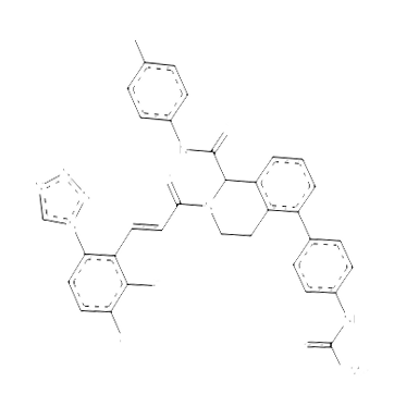 COC(=O)Nc1ccc(-c2cccc3c2CCN(C(=O)/C=C/c2c(-n4cnnn4)ccc(Cl)c2F)C3C(=O)Nc2ccc(F)cc2)cc1